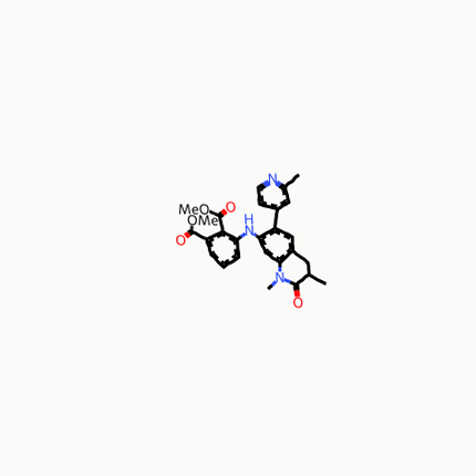 COC(=O)c1cccc(Nc2cc3c(cc2-c2ccnc(C)c2)CC(C)C(=O)N3C)c1C(=O)OC